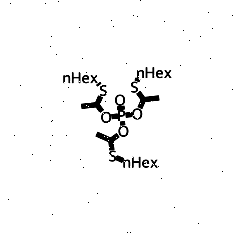 CCCCCCSC(C)OP(=O)(OC(C)SCCCCCC)OC(C)SCCCCCC